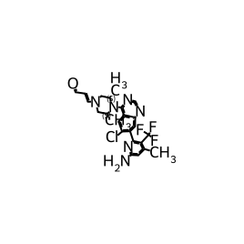 Cc1cc(N)nc(-c2cc3ncnc(N4[C@@H](C)CN(C=CC=O)C[C@@H]4C)c3cc2Cl)c1C(F)(F)F